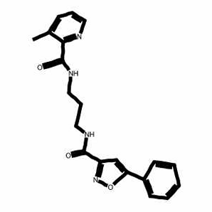 Cc1cccnc1C(=O)NCCCNC(=O)c1cc(-c2ccccc2)on1